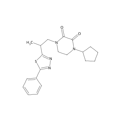 CC(CN1CCN(C2CCCC2)C(=O)C1=O)c1nnc(-c2ccccc2)s1